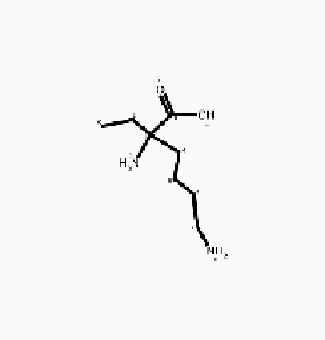 CCC(N)(CCCCN)C(=O)O